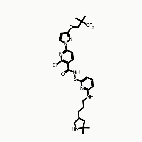 CC1(C)C[C@H](CCCNc2cccc(SNC(=O)c3ccc(-n4ccc(OCC(C)(C)C(F)(F)F)n4)nc3Cl)n2)CN1